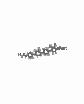 C=CC1CC=C(c2ccc(-c3ccc(-c4ccc(CCCCC)c(F)c4F)cc3)c(F)c2)CC1